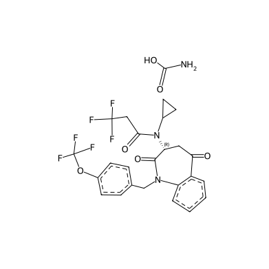 NC(=O)O.O=C1C[C@@H](N(C(=O)CC(F)(F)F)C2CC2)C(=O)N(Cc2ccc(OC(F)(F)F)cc2)c2ccccc21